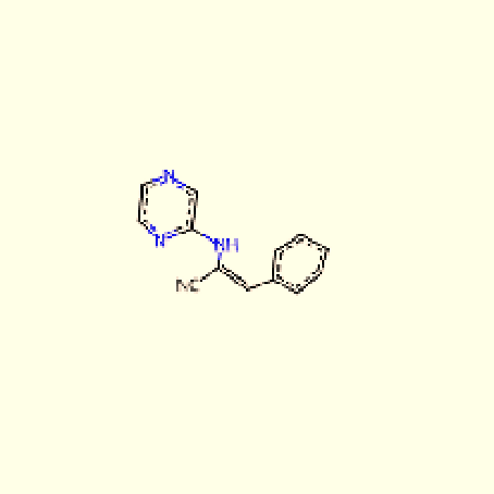 N#CC(=Cc1ccccc1)Nc1cnccn1